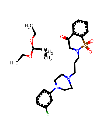 C=C.CCOC(C)OCC.O=C1CN(CCCN2CCN(c3cccc(F)c3)CC2)S(=O)(=O)c2ccccc21